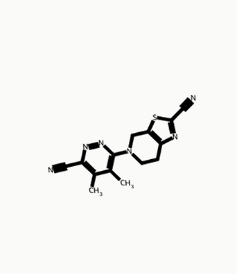 Cc1c(C#N)nnc(N2CCc3nc(C#N)sc3C2)c1C